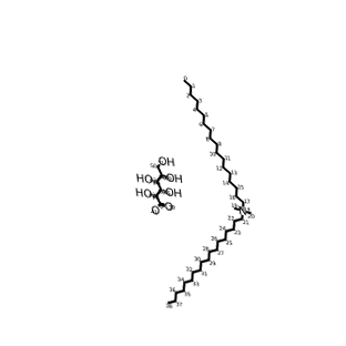 CCCCCCCCCCCCCCCCCC[N+](C)(C)CCCCCCCCCCCCCCCCCC.O=C([O-])[C@H](O)[C@@H](O)[C@H](O)[C@H](O)CO